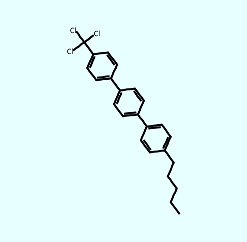 CCCCCc1ccc(-c2ccc(-c3ccc(C(Cl)(Cl)Cl)cc3)cc2)cc1